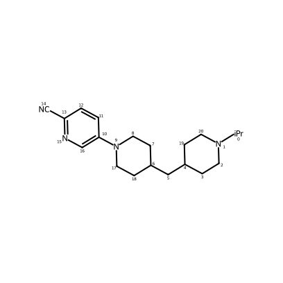 CC(C)N1CCC(CC2CCN(c3ccc(C#N)nc3)CC2)CC1